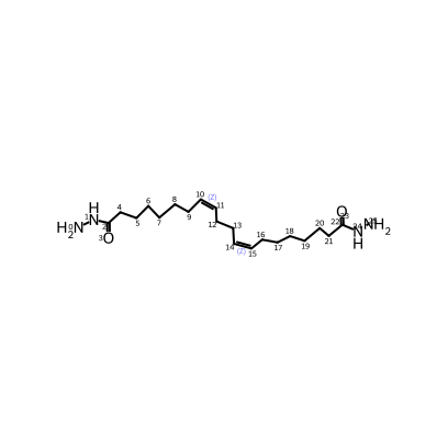 NNC(=O)CCCCCC/C=C\CC/C=C\CCCCCCC(=O)NN